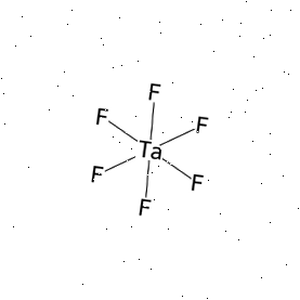 [F][Ta]([F])([F])([F])([F])[F]